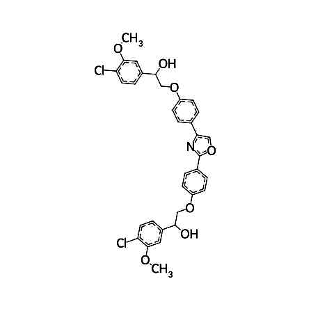 COc1cc(C(O)COc2ccc(-c3coc(-c4ccc(OCC(O)c5ccc(Cl)c(OC)c5)cc4)n3)cc2)ccc1Cl